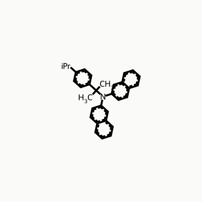 CC(C)c1ccc(C(C)(C)N(c2ccc3ccccc3c2)c2ccc3ccccc3c2)cc1